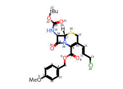 COc1ccc(COC(=O)C2=C(C=CCCl)CS[C@H]3[C@H](NC(=O)OC(C)(C)C)C(=O)N23)cc1